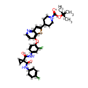 CC(C)(C)OC(=O)N1CCC(c2cc3nccc(Oc4ccc(NC(=O)C5(C(=O)Nc6ccc(F)cc6)CC5)cc4F)c3s2)CC1